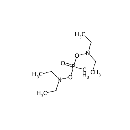 CCN(CC)OP(C)(=O)ON(CC)CC